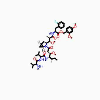 CC[C@H](C)[C@@H]([C@@H](CC(=O)N1[C@H]2C[C@H]2C[C@H]1[C@H](OC)[C@@H](C)C(=O)NC(Cc1ccccc1F)C(=O)OCc1ccc(OC)cc1OC)OC)N(C)C(=O)C(NC(=O)C(NC)C(C)C)C(C)C